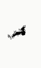 CC(C)(C)CNCc1ccc2c(c1)CCC(NC(=O)CC1c3cccn3CCN1S(=O)(=O)c1cccc(CCl)c1)C2